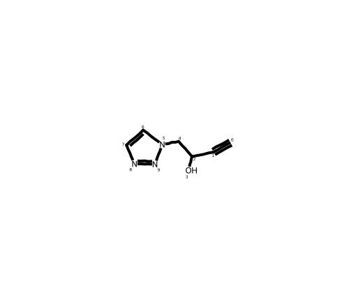 C#CC(O)Cn1ccnn1